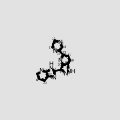 c1cnc2[nH]c(-c3n[nH]c4ccc(-c5cnccn5)nc34)nc2c1